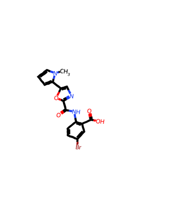 Cn1cccc1-c1cnc(C(=O)Nc2ccc(Br)cc2C(=O)O)o1